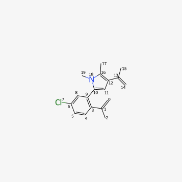 C=C(C)c1ccc(Cl)cc1-c1cc(C(=C)C)c(C)n1C